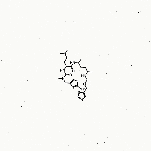 CC(CCC(C)NC(=O)C(CCN(C)C)NC(=O)N(C)Cc1csc(C(C)C)n1)NCOCc1cncs1